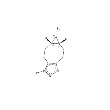 CC[C@H]1[C@H]2CCc3c(nnn3I)CC[C@@H]12